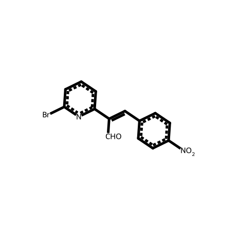 O=C/C(=C\c1ccc([N+](=O)[O-])cc1)c1cccc(Br)n1